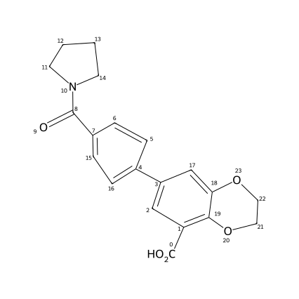 O=C(O)c1cc(-c2ccc(C(=O)N3CCCC3)cc2)cc2c1OCCO2